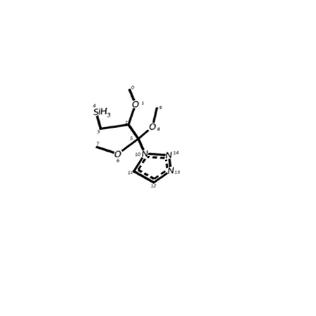 COC(C[SiH3])C(OC)(OC)n1ccnn1